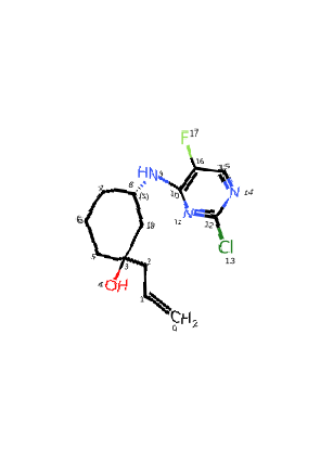 C=CCC1(O)CCC[C@H](Nc2nc(Cl)ncc2F)C1